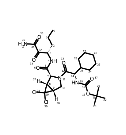 CCC[C@H](NC(=O)[C@@H]1[C@@H]2[C@H](CN1C(=O)[C@@H](NC(=O)OC(C)(C)C)C1CCCCC1)C2(Cl)Cl)C(=O)C(N)=O